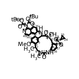 COc1ccc2cc1[C@H](C)CN(C)C(=O)Nc1ccc(S(=O)(=O)C3CC3)c(c1)CN(C)C(=O)C2Nc1ccc2c(N(C(=O)OC(C)(C)C)C(=O)OC(C)(C)C)nccc2c1